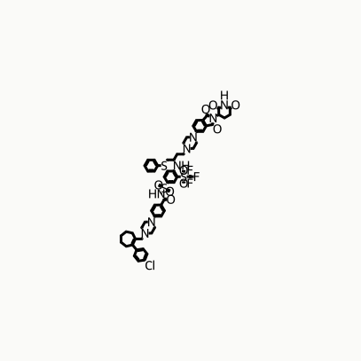 O=C1CCC(N2C(=O)c3ccc(N4CCN(CCC(CSc5ccccc5)Nc5ccc(S(=O)(=O)NC(=O)c6ccc(N7CCN(CC8=C(c9ccc(Cl)cc9)CCCCC8)CC7)cc6)cc5S(=O)(=O)C(F)(F)F)CC4)cc3C2=O)C(=O)N1